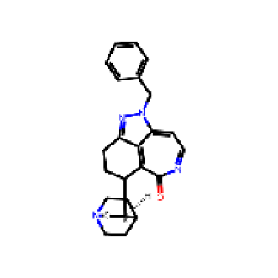 O=c1nccc2c3c(nn2Cc2ccccc2)CCC([C@@H]2CN4CCC2CC4)c13